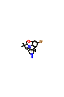 CC(C)(C)C1COc2cc(Br)cc3c2N1[C@H]1CCNC[C@@H]31